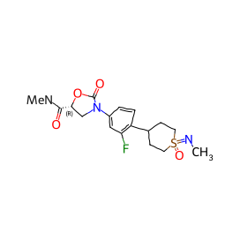 CN=S1(=O)CCC(c2ccc(N3C[C@H](C(=O)NC)OC3=O)cc2F)CC1